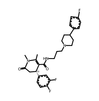 CC1=C(C(=O)NCCCN2CCC(c3ccc(F)cc3)CC2)[C@H](c2ccc(F)c(F)c2)CC(=O)N1C